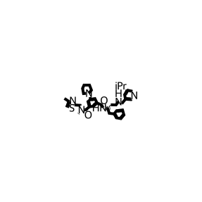 Cc1csc(CN(C)C(=O)c2cc(C(=O)N[C@H](CCNCc3cncc(C(C)C)c3)Cc3ccccc3)cc(N3CCCCC3)c2)n1